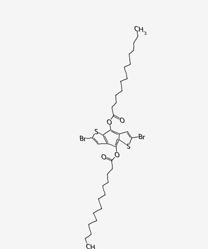 CCCCCCCCCCCCCC(=O)Oc1c2cc(Br)sc2c(OC(=O)CCCCCCCCCCCCC)c2cc(Br)sc12